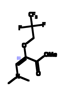 COC(=O)/C(=C\N(C)C)OCC(F)(F)C(F)(F)F